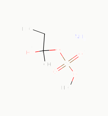 CCC(C)(O)OS(=O)(=O)OC.N